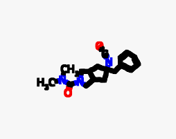 CN(C)C(=O)N1CC2CC(Cc3ccccc3)(N=C=O)CC2C1